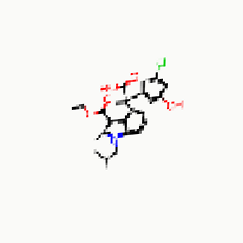 CCOC(=O)c1c(C)n(CC(C)C)c2cccc(C(C)(C(=O)O)c3cc(O)cc(Cl)c3)c12